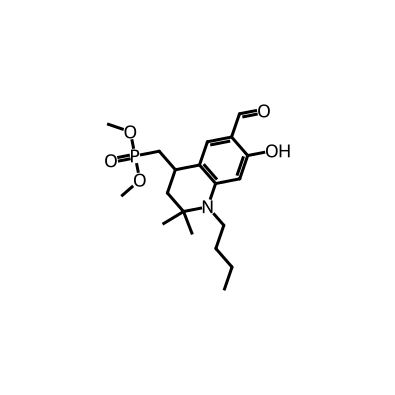 CCCCN1c2cc(O)c(C=O)cc2C(CP(=O)(OC)OC)CC1(C)C